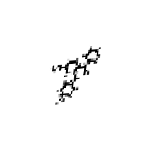 Nc1ccc(C(=O)c2ccccc2)c(Cc2ccc(Cl)cc2)c1